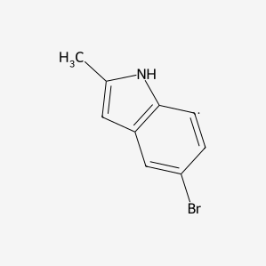 Cc1cc2cc(Br)c[c]c2[nH]1